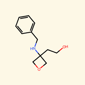 OCCC1(NCc2ccccc2)COC1